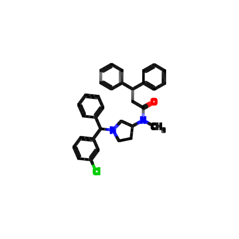 CN(C(=O)CC(c1ccccc1)c1ccccc1)C1CCN(C(c2ccccc2)c2cccc(Cl)c2)C1